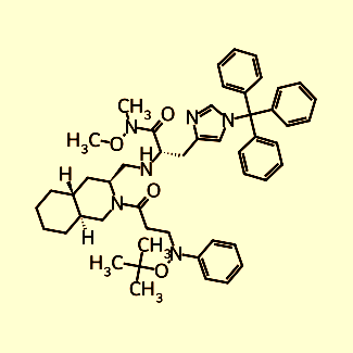 CON(C)C(=O)[C@H](Cc1cn(C(c2ccccc2)(c2ccccc2)c2ccccc2)cn1)NC[C@@H]1C[C@H]2CCCC[C@@H]2CN1C(=O)CCN(OC(C)(C)C)c1ccccc1